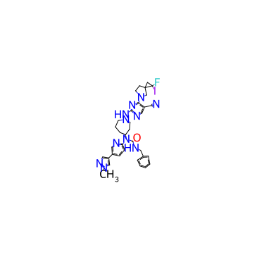 Cn1cc(-c2ccc(N(C(=O)NCc3ccccc3)[C@H]3CCCN(Nc4ncc(C#N)c(N5CCC6(C5)CC6(F)I)n4)CC3)nc2)cn1